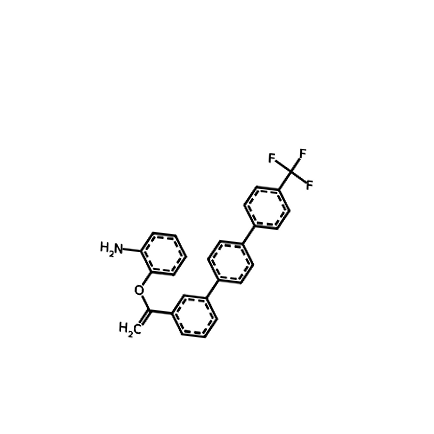 C=C(Oc1ccccc1N)c1cccc(-c2ccc(-c3ccc(C(F)(F)F)cc3)cc2)c1